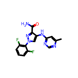 Cc1cc(Nc2cn(-c3c(F)cccc3F)nc2C(N)=O)ncn1